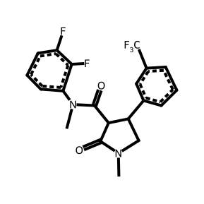 CN1CC(c2cccc(C(F)(F)F)c2)C(C(=O)N(C)c2cccc(F)c2F)C1=O